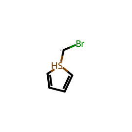 Br[CH][SH]1C=CC=C1